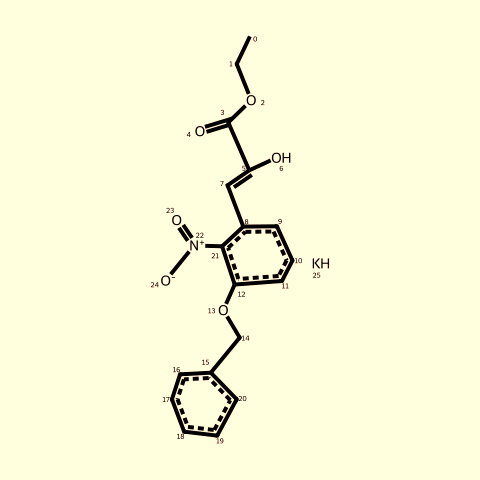 CCOC(=O)/C(O)=C/c1cccc(OCc2ccccc2)c1[N+](=O)[O-].[KH]